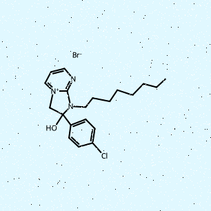 CCCCCCCCN1c2nccc[n+]2CC1(O)c1ccc(Cl)cc1.[Br-]